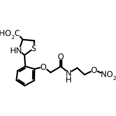 O=C(COc1ccccc1C1NC(C(=O)O)CS1)NCCO[N+](=O)[O-]